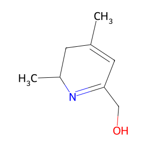 CC1=CC(CO)=NC(C)C1